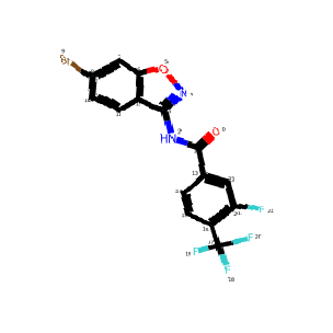 O=C(Nc1noc2cc(Br)ccc12)c1ccc(C(F)(F)F)c(F)c1